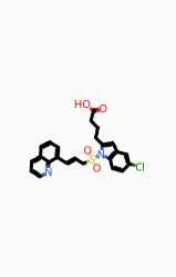 O=C(O)CCCc1cc2cc(Cl)ccc2n1S(=O)(=O)CC=Cc1cccc2cccnc12